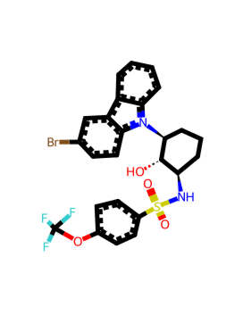 O=S(=O)(N[C@@H]1CCC[C@H](n2c3ccccc3c3cc(Br)ccc32)[C@H]1O)c1ccc(OC(F)(F)F)cc1